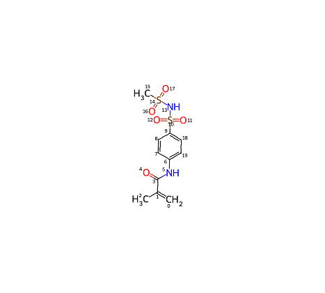 C=C(C)C(=O)Nc1ccc(S(=O)(=O)NS(C)(=O)=O)cc1